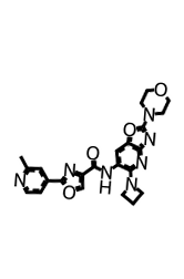 Cc1cc(-c2nc(C(=O)Nc3cc4oc(N5CCOCC5)nc4nc3N3CCC3)co2)ccn1